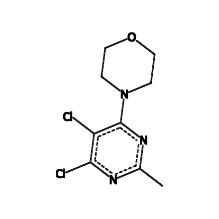 Cc1nc(Cl)c(Cl)c(N2CCOCC2)n1